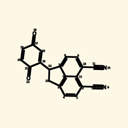 N#Cc1ccc2c3c(ccc(C#N)c13)C(C1=CC(=O)C=CC1=O)C2